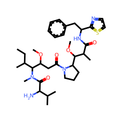 CCC(C)C(C(CC(=O)N1CCCC1C(OC)C(C)C(=O)NC(Cc1ccccc1)c1nccs1)OC)N(C)C(=O)C(N)C(C)C